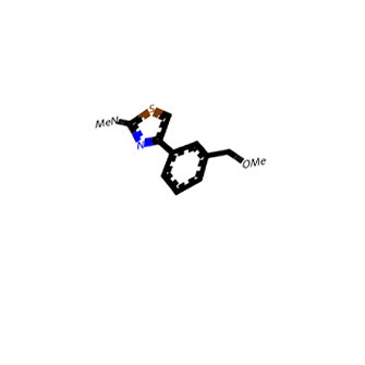 CNc1nc(-c2cccc(COC)c2)cs1